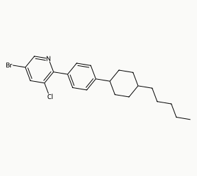 CCCCCC1CCC(c2ccc(-c3ncc(Br)cc3Cl)cc2)CC1